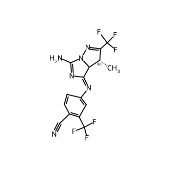 C[C@H]1C(C(F)(F)F)=NN2C(N)=NC(=Nc3ccc(C#N)c(C(F)(F)F)c3)C12